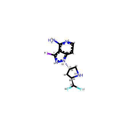 Nc1nccc2c1c(I)nn2[C@@H]1CN[C@@H](C(F)F)C1